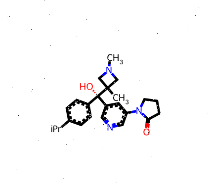 CC(C)c1ccc([C@](O)(c2cncc(N3CCCC3=O)c2)C2(C)CN(C)C2)cc1